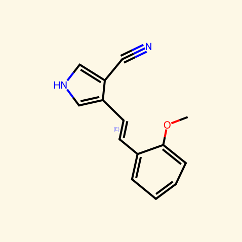 COc1ccccc1/C=C/c1c[nH]cc1C#N